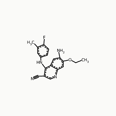 CCOc1cc2ncc(C#N)c(Nc3ccc(F)c(C)c3)c2cc1N